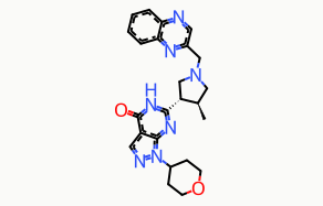 C[C@@H]1CN(Cc2cnc3ccccc3n2)C[C@H]1c1nc2c(cnn2C2CCOCC2)c(=O)[nH]1